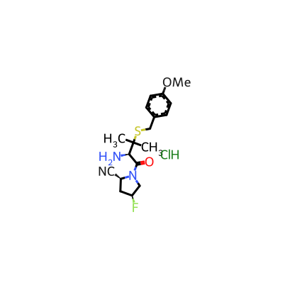 COc1ccc(CSC(C)(C)[C@H](N)C(=O)N2C[C@@H](F)C[C@H]2C#N)cc1.Cl